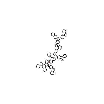 c1ccc2cc3c(cc2c1)c1cc2oc4c(-c5ccc6c7c8ccccc8c8c9ccc(-c%10cc%11sc%12ccccc%12c%11cc%10-n%10c%11ccccc%11c%11c%12oc%13ccccc%13c%12c%12ccccc%12c%11%10)cc9oc8c7n(-c7ccc8sc9ccccc9c8c7)c6c5)cccc4c2cc1n3-c1ccc2oc3ccccc3c2c1